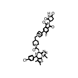 Cc1sc2c(c1C)C(c1ccc(Cl)cc1)=N[C@@H](CC(=O)N1CCC(CN3CC4CCC3CN4c3cc4c(cc3F)C(=O)N(C3CCC(=O)NC3=O)C4=O)CC1)c1nnc(C)n1-2